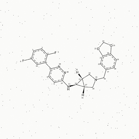 Fc1ccc(F)c(-c2ccc(N[C@H]3[C@@H]4CN(Cc5ccc6c(c5)OCO6)C[C@@H]43)nn2)c1